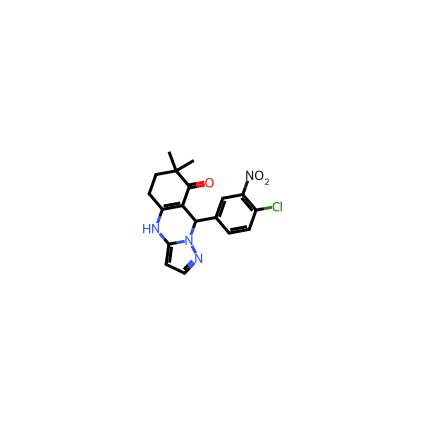 CC1(C)CCC2=C(C1=O)C(c1ccc(Cl)c([N+](=O)[O-])c1)n1nccc1N2